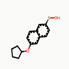 OSc1ccc2cc(OC3CCCC3)ccc2c1